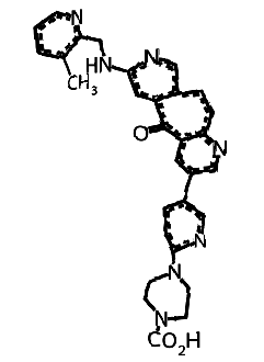 Cc1cccnc1CNc1cc2c(=O)c3cc(-c4ccc(N5CCN(C(=O)O)CC5)nc4)cnc3ccc2cn1